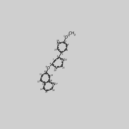 COc1ccc(-c2cc(Oc3ccc4cccnc4c3)ncn2)cn1